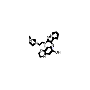 C[n+]1ccn(CCNc2nn3ccccc3c2/N=C2\C=C3OCCN=C3C=C2O)c1